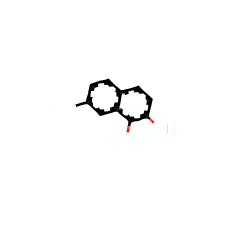 Cc1ccc2ccc(O)c(O)c2c1